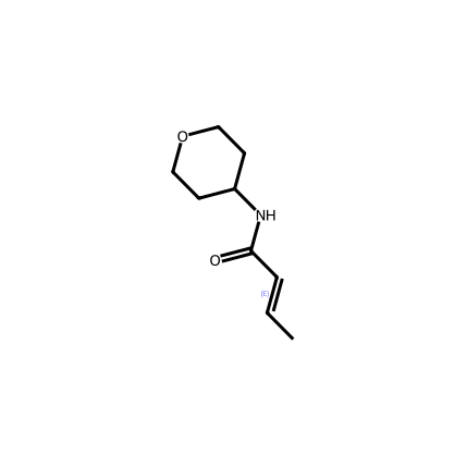 C/C=C/C(=O)NC1CCOCC1